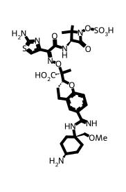 COC[C@]1(NC(=N)c2ccc3c(c2)CC[C@H]([C@](C)(O/N=C(\C(=O)N[C@@H]2C(=O)N(OS(=O)(=O)O)C2(C)C)c2csc(N)n2)C(=O)O)O3)CC[C@H](N)CC1